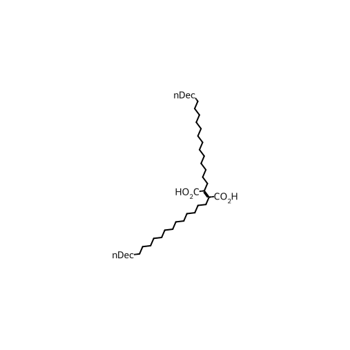 CCCCCCCCCCCCCCCCCCCCCCC/C(C(=O)O)=C(/CCCCCCCCCCCCCCCCCCCCCCC)C(=O)O